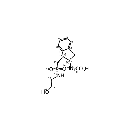 O=C(O)N[C@@H]1Cc2ccccc2[C@@H]1CS(=O)(=O)NCCO